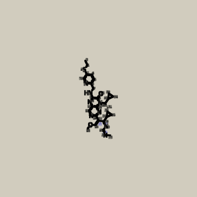 CCSc1ccc(CNc2nc3cnc(C(=C\OC)/C(=N\C=N/C)C4CC4)nc3n([C@@H](C)C3CC3)c2=O)nc1